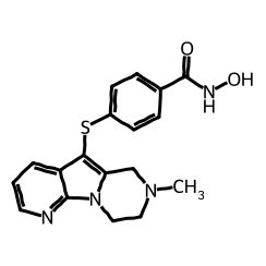 CN1CCn2c(c(Sc3ccc(C(=O)NO)cc3)c3cccnc32)C1